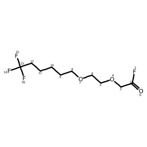 O=C(F)COCCOCCCCCC(F)(F)F